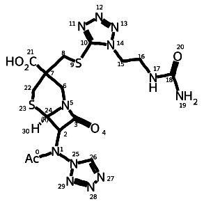 CC(=O)N(C1C(=O)N2CC(CSc3nnnn3CCNC(N)=O)(C(=O)O)CS[C@H]12)n1cnnn1